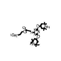 CCCCCCCCCCCCOC(=O)C=Nc1nc(OC2CC(C)(C)NC(C)(C)C2)nc(OC2CC(C)(C)NC(C)(C)C2)n1